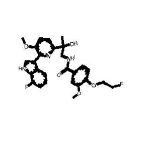 COc1cc(C(=O)NCC(C)(O)c2ccc(OC)c(-c3c[nH]c4c(F)cccc34)n2)ccc1OCCF